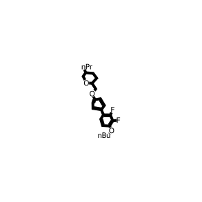 CCCCOc1ccc(-c2ccc(OCC3CCC(CCC)CO3)cc2)c(F)c1F